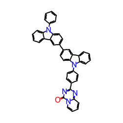 O=c1nc(-c2ccc(-n3c4ccccc4c4cc(-c5ccc6c(c5)c5ccccc5n6-c5ccccc5)ccc43)cc2)nc2ccccn12